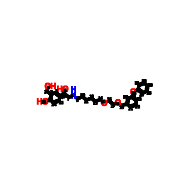 OCc1cc([C@@H](O)CNCCCCCCOCCOCc2cccc(Oc3ccccc3)c2)ccc1O